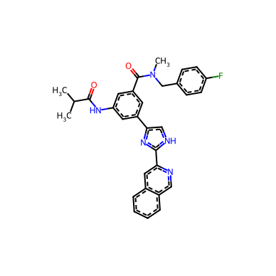 CC(C)C(=O)Nc1cc(C(=O)N(C)Cc2ccc(F)cc2)cc(-c2c[nH]c(-c3cc4ccccc4cn3)n2)c1